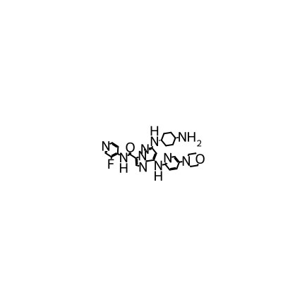 N[C@H]1CC[C@H](Nc2cc(Nc3ccc(N4CCOCC4)cn3)c3ncc(C(=O)Nc4ccncc4F)n3n2)CC1